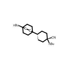 CCCCC12CCC([C@H]3CC[C@@](C#N)(CCCC)CC3)(CC1)CC2